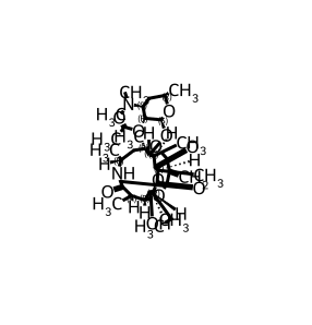 C=C1CO[C@@H]2[C@@H](C)C(=O)N[C@H](C)C[C@@](C)(OC1)[C@H](O[C@@H]1O[C@H](C)C[C@H](N(C)C)[C@H]1OC(C)=O)[C@@H](C)C(=O)[C@@H](C)C(=O)O[C@H](CC)[C@@]2(C)O